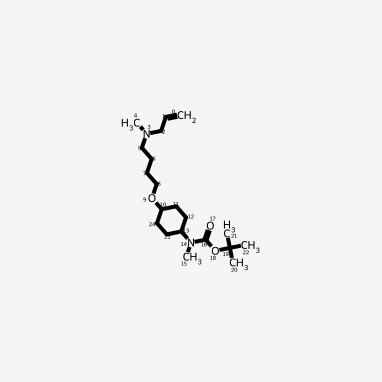 C=CCN(C)CCCCOC1CCC(N(C)C(=O)OC(C)(C)C)CC1